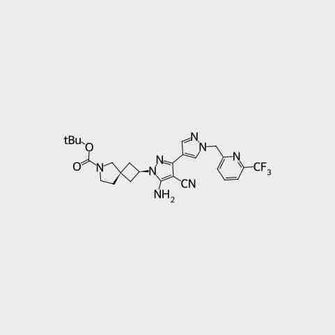 CC(C)(C)OC(=O)N1CC[C@]2(C1)C[C@H](n1nc(-c3cnn(Cc4cccc(C(F)(F)F)n4)c3)c(C#N)c1N)C2